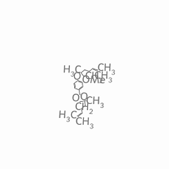 C=CC(C)(CCC=C(C)C)OC(=O)c1ccc(OC(C)(C=C)CCC=C(C)C)c(OC)c1